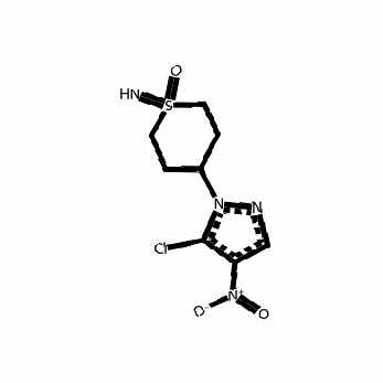 N=S1(=O)CCC(n2ncc([N+](=O)[O-])c2Cl)CC1